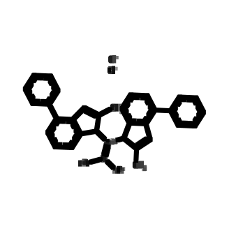 CCC[Si](CCC)=[Zr+2]([CH]1C(C)=Cc2c(-c3ccccc3)cccc21)[CH]1C(C)=Cc2c(-c3ccccc3)cccc21.[Cl-].[Cl-]